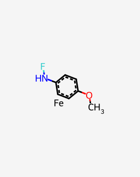 COc1ccc(NF)cc1.[Fe]